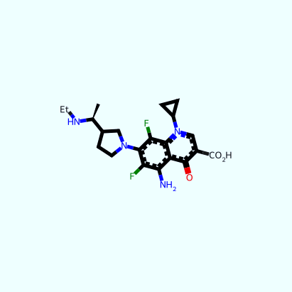 CCN[C@@H](C)C1CCN(c2c(F)c(N)c3c(=O)c(C(=O)O)cn(C4CC4)c3c2F)C1